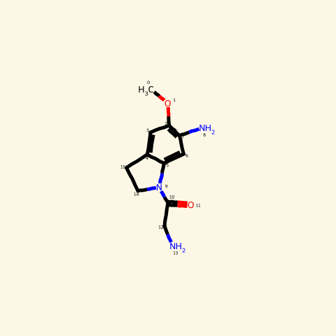 COc1cc2c(cc1N)N(C(=O)CN)CC2